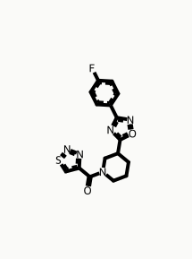 O=C(c1csnn1)N1CCCC(c2nc(-c3ccc(F)cc3)no2)C1